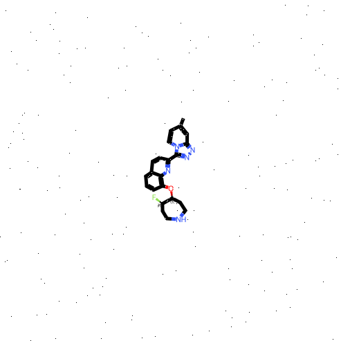 Cc1ccn2c(-c3ccc4cccc(O[C@H]5CCNCC[C@H]5F)c4n3)nnc2c1